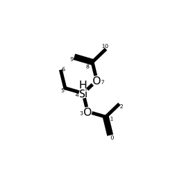 C=C(C)O[SiH](CC)OC(=C)C